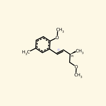 COC[C@H](C)/C=C/c1cc(C)ccc1OC